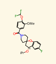 COc1cc(C(=O)N2CCC3(CC2)C[C@@H](OC(C)C)c2cc(F)ccc2O3)ccc1OC(F)F